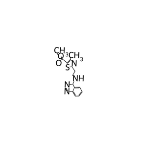 CCOC(=O)c1sc(CCNc2ncnc3ccccc23)nc1C